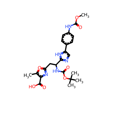 COC(=O)Nc1ccc(-c2cnc(C(Cc3nc(C(=O)O)c(C)o3)NC(=O)OC(C)(C)C)[nH]2)cc1